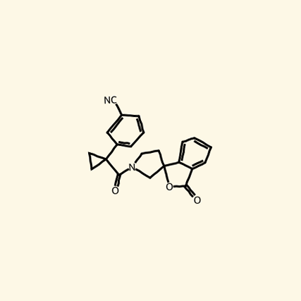 N#Cc1cccc(C2(C(=O)N3CCC4(C3)OC(=O)c3ccccc34)CC2)c1